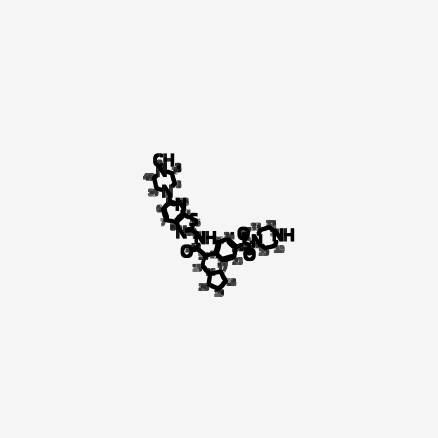 CN1CCN(c2ccc3nc(NC(=O)[C@H](CC4CCCC4)c4ccc(S(=O)(=O)N5CCNCC5)cc4)sc3n2)CC1